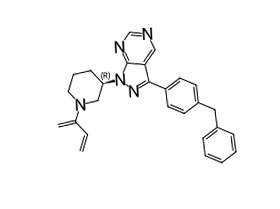 C=CC(=C)N1CCC[C@@H](n2nc(-c3ccc(Cc4ccccc4)cc3)c3cncnc32)C1